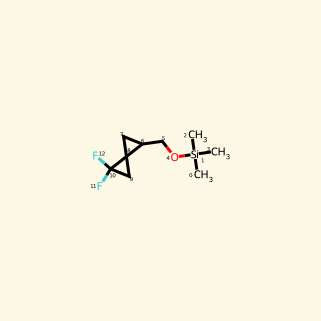 C[Si](C)(C)OCC1CC12CC2(F)F